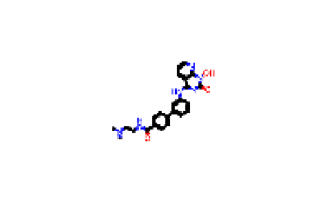 CN(C)CCNC(=O)c1ccc(-c2cccc(Nc3nc(=O)n(O)c4ncccc34)c2)cc1